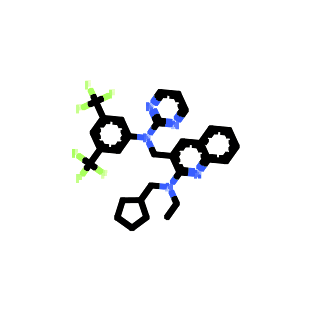 CCN(CC1CCCC1)c1nc2ccccc2cc1CN(c1cc(C(F)(F)F)cc(C(F)(F)F)c1)c1ncccn1